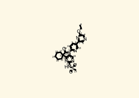 CCOc1cncc(-c2ccc(NC(=O)C3(c4ccnc(NS(C)(=O)=O)n4)CCCCC3)nc2)n1